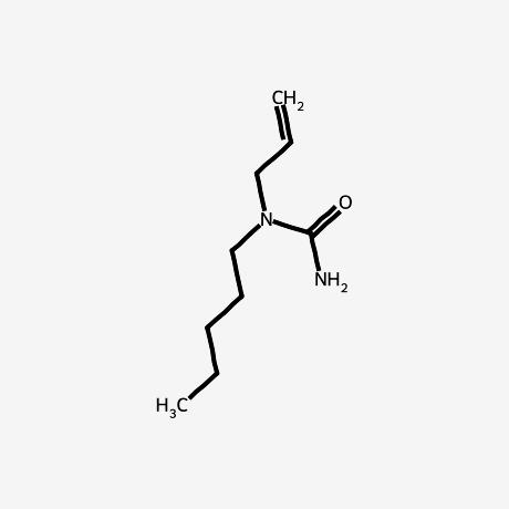 C=CCN(CCCCC)C(N)=O